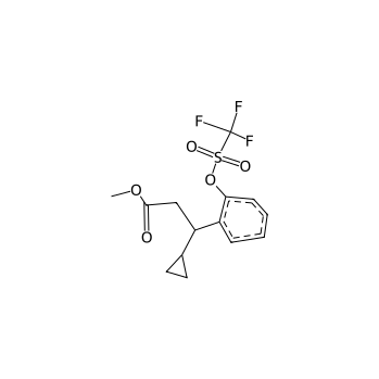 COC(=O)CC(c1ccccc1OS(=O)(=O)C(F)(F)F)C1CC1